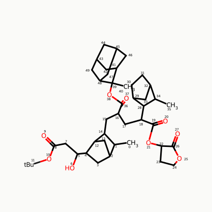 CC1C2CC(C(O)CC(=O)OC(C)(C)C)C(C2)C1CC(CC(C(=O)OC1CCOC1=O)C1C2CCC(C2)C1C)C(=O)OC1(C)C2CC3CC(C2)CC1C3